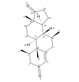 C[C@@H]1CC(=O)C=C2C[C@H](C)[C@@H]3[C@H](CC[C@]4(C)C(=O)CC[C@@H]34)[C@]21C